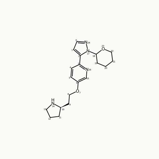 c1cc(-c2ccc(OCC[C@H]3CCCN3)cn2)n(C2CCCCO2)n1